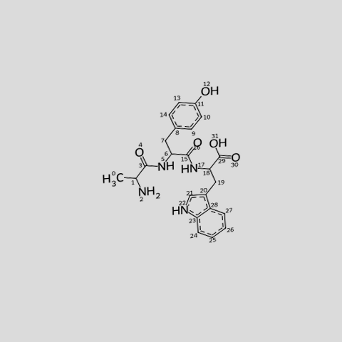 CC(N)C(=O)NC(Cc1ccc(O)cc1)C(=O)NC(Cc1c[nH]c2ccccc12)C(=O)O